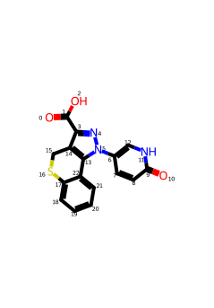 O=C(O)c1nn(-c2ccc(=O)[nH]c2)c2c1CSc1ccccc1-2